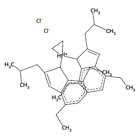 CCc1ccc(CC)c2c1C=C(CC(C)C)[CH]2[Hf+2]1([CH]2C(CC(C)C)=Cc3c(CC)ccc(CC)c32)[CH2][CH2]1.[Cl-].[Cl-]